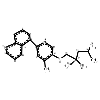 Cc1cc(-c2cccc3ncccc23)ncc1OC[C@@](C)(N)CC(C)C